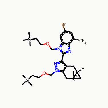 C[C@@]12Cc3c(c(-c4nc5c(C(F)(F)F)cc(Br)cc5n4COCC[Si](C)(C)C)nn3COCC[Si](C)(C)C)C[C@@H]1C2